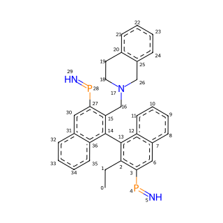 CCc1c(P=N)cc2ccccc2c1-c1c(CN2CCc3ccccc3C2)c(P=N)cc2ccccc12